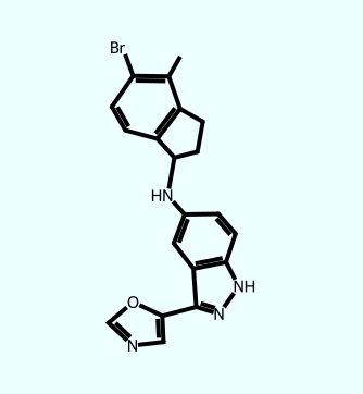 Cc1c(Br)ccc2c1CCC2Nc1ccc2[nH]nc(-c3cnco3)c2c1